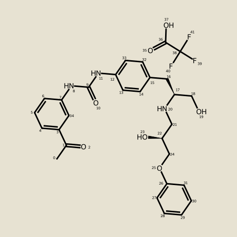 CC(=O)c1cccc(NC(=O)Nc2ccc(C[C@@H](CO)NC[C@H](O)COc3ccccc3)cc2)c1.O=C(O)C(F)(F)F